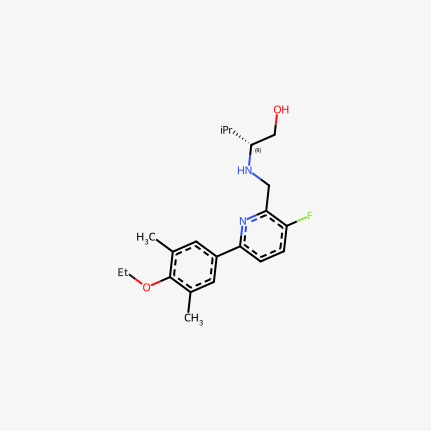 CCOc1c(C)cc(-c2ccc(F)c(CN[C@@H](CO)C(C)C)n2)cc1C